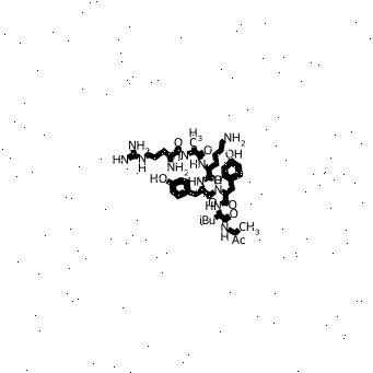 CCC(C)C(NC(=O)C(Cc1ccc(O)cc1)NC(=O)C(Cc1ccc(O)cc1)NC(=O)C(CCCCN)NC(=O)C(C)NC(=O)C(N)CCCNC(=N)N)C(=O)NC(C)C(C)=O